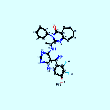 CCOc1ccc(C(=N)c2c(N)ncnc2NC(C)c2nc3c(c(=O)n2-c2ccccc2)C=CCC=C3)c(F)c1F